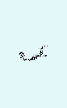 COc1cc2c(cc1OCCCOc1c(OC)cc3sc(C(=O)CCC(=O)O[C@@H](C)CNC(=O)CN4C(=O)C=CC4=O)cc3c1F)CN(C(=O)CCC(=O)O)C2